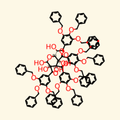 O=C(c1cc(OCc2ccccc2)c(OCc2ccccc2)c(OCc2ccccc2)c1)C(O)[C@H]1OC(O)[C@@](O)(C(=O)c2cc(OCc3ccccc3)c(OCc3ccccc3)c(OCc3ccccc3)c2)[C@](O)(C(=O)c2cc(OCc3ccccc3)c(OCc3ccccc3)c(OCc3ccccc3)c2)[C@@]1(O)C(=O)c1cc(OCc2ccccc2)c(OCc2ccccc2)c(OCc2ccccc2)c1